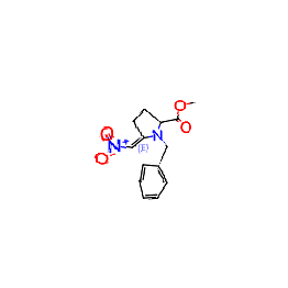 COC(=O)C1CC/C(=C\[N+](=O)[O-])N1Cc1ccccc1